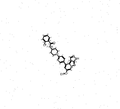 CCOc1cc(-c2ccc(N3CCC(NC(=O)c4ccccc4C(F)(F)F)CC3)nc2)c2c3cn[nH]c3nn2c1